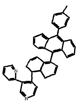 Cc1ccc(-c2c3ccccc3c(C3=C4C=CCC(c5ccncc5-c5ccccn5)C4CC=C3)c3ccccc23)cc1